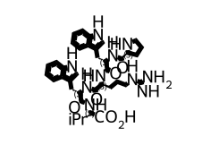 CC(C)[C@H](NC(=O)[C@H](Cc1c[nH]c2ccccc12)NC(=O)[C@H](CCCNC(=N)N)NC(=O)[C@H](Cc1c[nH]c2ccccc12)NC(=O)[C@@H]1CCCN1)C(=O)O